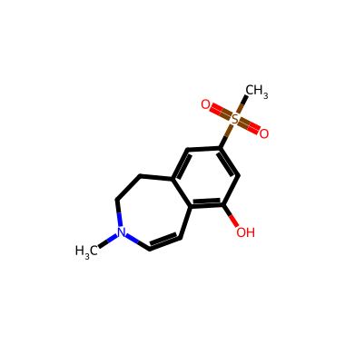 CN1C=Cc2c(O)cc(S(C)(=O)=O)cc2CC1